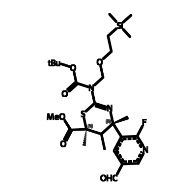 COC(=O)[C@@]1(C)SC(N(COCC[Si](C)(C)C)C(=O)OC(C)(C)C)=N[C@](C)(c2cc(C=O)cnc2F)C1C